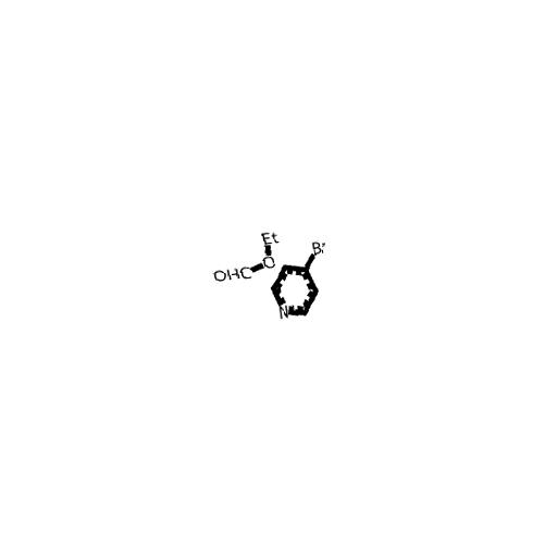 Brc1ccncc1.CCOC=O